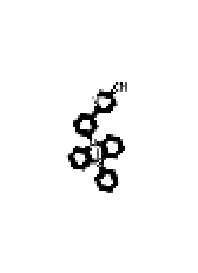 N#Cc1ccc(-c2cccc(N3C4=C(CCC=C4)[SiH](c4ccccc4)c4ccccc43)c2)nc1